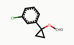 O=COC1(c2cccc(Cl)c2)CC1